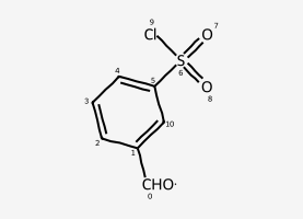 O=[C]c1cccc(S(=O)(=O)Cl)c1